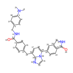 CN(C)c1ccc(CNC(=O)c2ccc(Cc3ccc(-c4ccc5c(c4)CNC5=O)n4ccnc34)cc2)cc1